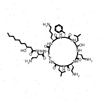 CCCCCCC[C@@H](O)CC(=O)N[C@H](CCN)C(=O)N[C@H]1CCNC(=O)[C@H](CC(C)C)NC(=O)[C@H](CCN)NC(=O)[C@H](CCN)NC(O)[C@H](CC(C)C)NC(=O)[C@@H](Cc2ccccc2)NC(=O)[C@H](CCCCN)NC1=O